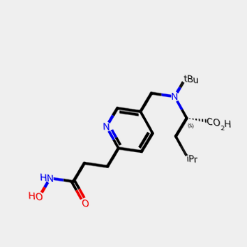 CC(C)C[C@@H](C(=O)O)N(Cc1ccc(CCC(=O)NO)nc1)C(C)(C)C